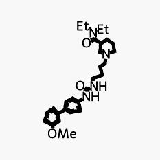 CCN(CC)C(=O)C1CCCN(CCCCNC(=O)Nc2ccc(-c3cccc(OC)c3)cc2)C1